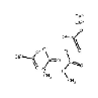 CO[Si](=O)[O-].CO[Si](=O)[O-].O=[Si]([O-])[O-].O=[Si]([O-])[O-].[Ca+2].[Ca+2].[Ca+2]